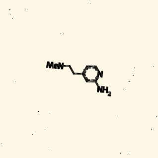 CNCCc1ccnc(N)c1